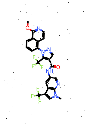 COc1nccc2c(-n3ncc(C(=O)Nc4cnc5c(c4)c(C(F)(F)F)cn5C)c3C(F)(F)F)cccc12